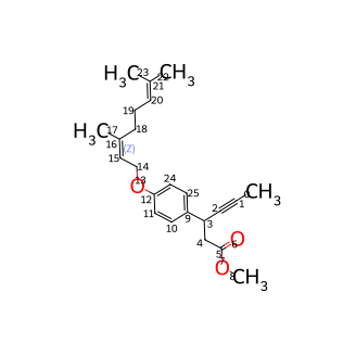 CC#CC(CC(=O)OC)c1ccc(OC/C=C(/C)CCC=C(C)C)cc1